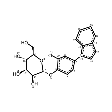 OC[C@H]1O[C@H](Oc2ccc(-n3ccc4ccccc43)cc2Cl)[C@@H](O)[C@@H](O)[C@@H]1O